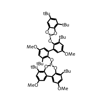 COc1cc(-c2cc(OC)cc(C(C)(C)C)c2Op2oc3c(C(C)(C)C)cc(OC)cc3c3cc(OC)cc(C(C)(C)C)c3o2)c(OP2Oc3cc(C(C)(C)C)cc(C(C)(C)C)c3O2)c(C(C)(C)C)c1